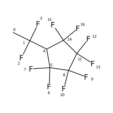 CC(F)(F)C1C(F)(F)C(F)(F)C(F)(F)C1(F)F